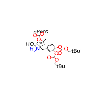 CCCCCOC(=O)O[C@@H](C)CC(N)(Cc1ccc(OC(=O)OCC(C)(C)C)c(OC(=O)OCC(C)(C)C)c1)C(=O)O